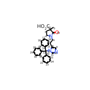 C[C@]1(C(=O)O)CCN(CCc2cncn2C(c2ccccc2)(c2ccccc2)c2ccccc2)C1=O